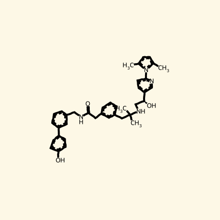 Cc1ccc(C)n1-c1ccc([C@@H](O)CNC(C)(C)Cc2cccc(CC(=O)NCc3cccc(-c4ccc(O)cc4)c3)c2)cn1